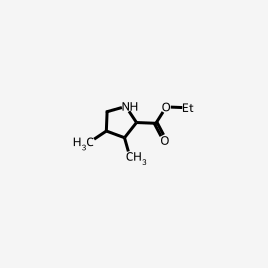 CCOC(=O)C1NCC(C)C1C